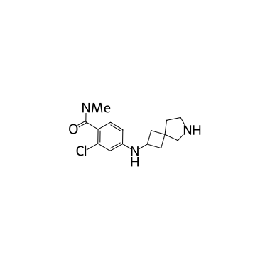 CNC(=O)c1ccc(NC2CC3(CCNC3)C2)cc1Cl